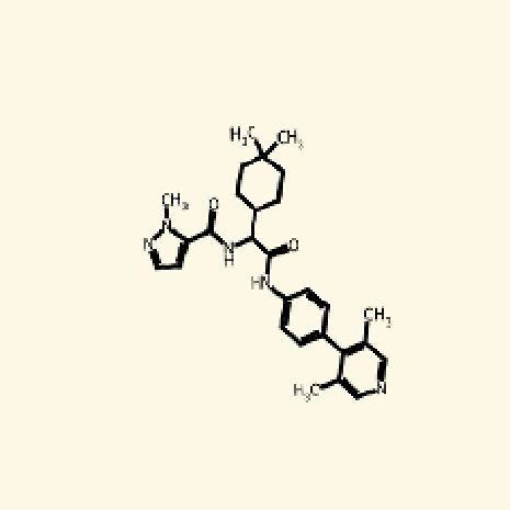 Cc1cncc(C)c1-c1ccc(NC(=O)C(NC(=O)c2ccnn2C)C2CCC(C)(C)CC2)cc1